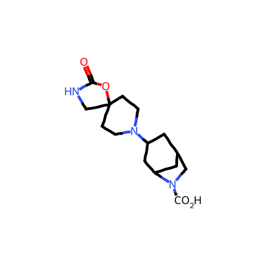 O=C1NCC2(CCN(C3CC4CC(C3)N(C(=O)O)C4)CC2)O1